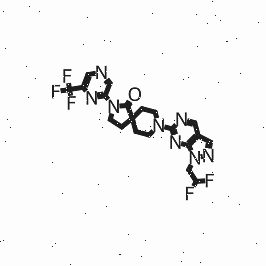 O=C1N(c2cncc(C(F)(F)F)n2)CCC12CCN(c1ncc3cnn(CC(F)F)c3n1)CC2